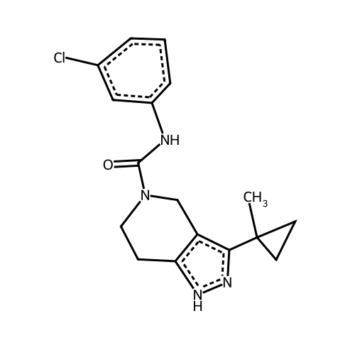 CC1(c2n[nH]c3c2CN(C(=O)Nc2cccc(Cl)c2)CC3)CC1